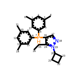 Cc1cc(C)cc([PH]2(c3cc(C)cc(C)c3)c3cnn(C4CCC4)c3C2C)c1